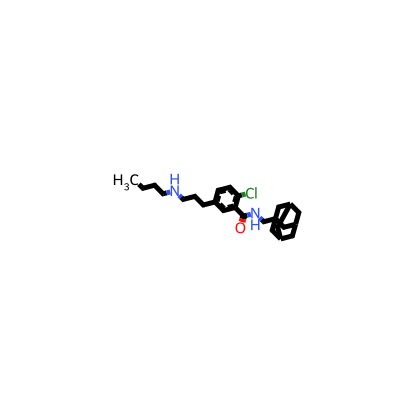 CCCCNCCCc1ccc(Cl)c(C(=O)NCC23CC4CC(CC(C4)C2)C3)c1